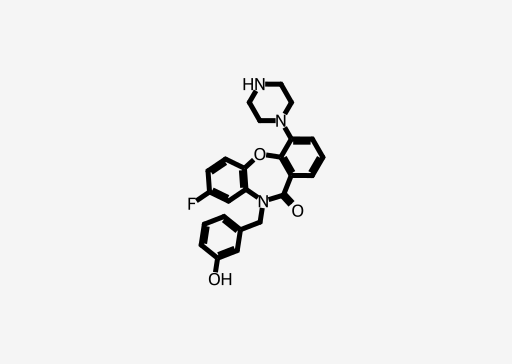 O=C1c2cccc(N3CCNCC3)c2Oc2ccc(F)cc2N1Cc1cccc(O)c1